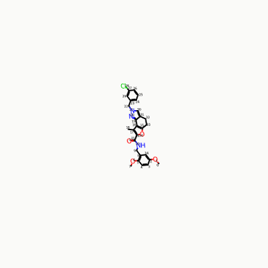 COc1ccc(OC)c(CNC(=O)c2oc3c(c2C)-c2nn(Cc4cccc(Cl)c4)cc2CC3)c1